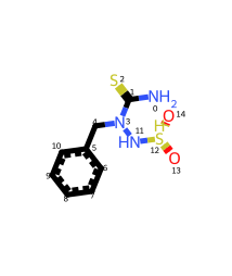 NC(=S)N(Cc1ccccc1)N[SH](=O)=O